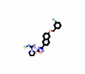 N/C(=N/Cl)N1CCC[C@H]1c1nc(-c2ccc3cc(OCc4cccc(Br)c4)ccc3c2)no1